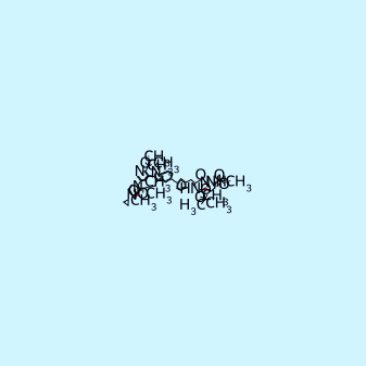 CCn1c(-c2cc(N3CCN(C4CC4)CC3)cnc2C(C)OC)c(CC(C)(C)COC(C)=O)c2cc(-c3cccc(CC(NC(=O)OC(C)(C)C)C(=O)N4CCC[C@@H](C(=O)OC)N4)c3)ccc21